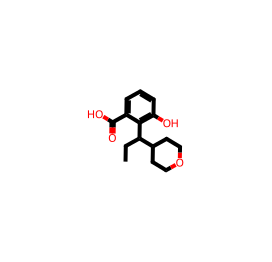 CCC(c1c(O)cccc1C(=O)O)C1CCOCC1